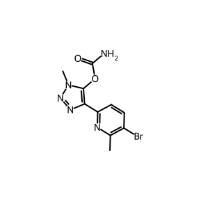 Cc1nc(-c2nnn(C)c2OC(N)=O)ccc1Br